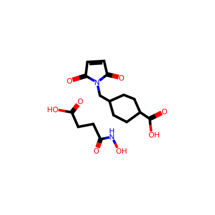 O=C(O)C1CCC(CN2C(=O)C=CC2=O)CC1.O=C(O)CCC(=O)NO